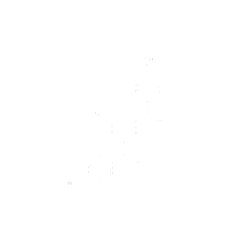 Cc1ccc(C(=O)c2cc(Br)cc(C(=O)c3ccc(C)cc3)c2)cc1